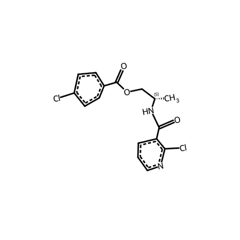 C[C@@H](COC(=O)c1ccc(Cl)cc1)NC(=O)c1cccnc1Cl